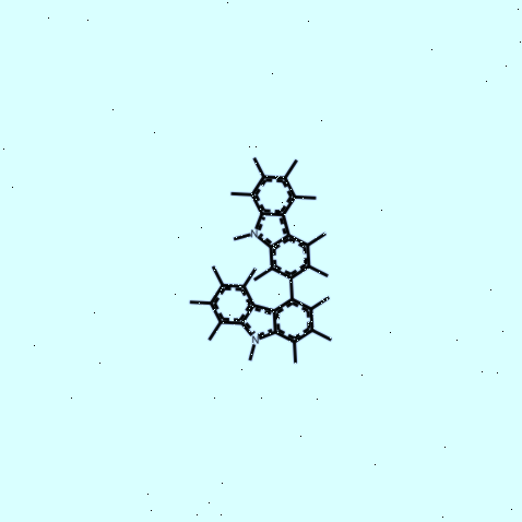 Cc1c(C)c(C)c2c(c1C)c1c(C)c(C)c(-c3c(C)c(C)c(C)c4c3c3c(C)c(C)c(C)c(C)c3n4C)c(C)c1n2C